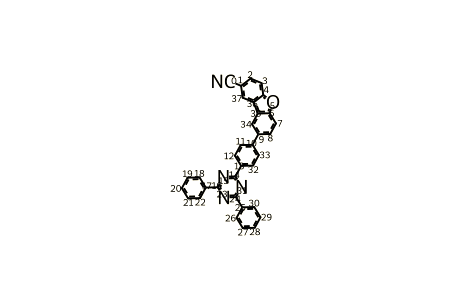 N#Cc1ccc2oc3ccc(-c4ccc(-c5nc(-c6ccccc6)nc(-c6ccccc6)n5)cc4)cc3c2c1